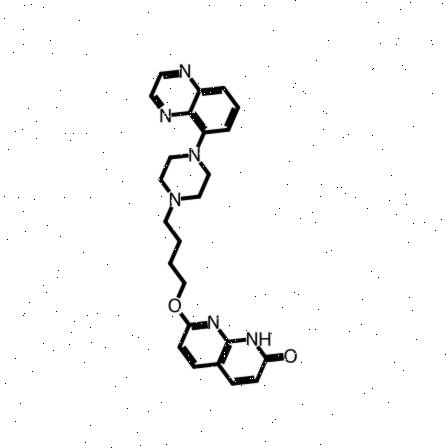 O=c1ccc2ccc(OCCCCN3CCN(c4cccc5nccnc45)CC3)nc2[nH]1